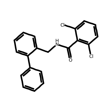 O=C(NCc1ccccc1-c1ccccc1)c1c(Cl)cccc1Cl